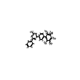 [2H]c1c([2H])c([2H])c(-c2ccc(-c3nc(Cl)nc(-c4ccccc4)n3)cc2)c([2H])c1[2H]